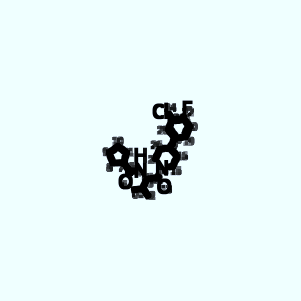 CC(C)[C@@H](NC(=O)C1CCCC1)C(=O)N1CCC(c2ccc(F)c(Cl)c2)CC1